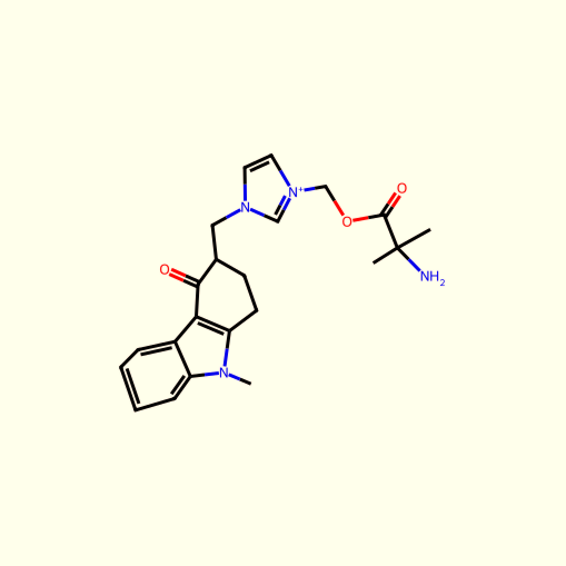 Cn1c2c(c3ccccc31)C(=O)C(Cn1cc[n+](COC(=O)C(C)(C)N)c1)CC2